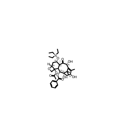 CC[Si](CC)(CC)O[C@H]1C[C@H]2OC[C@@]2(OC(C)=O)C2[C@H](OC(=O)c3ccccc3)[C@]3(O)C[C@H](O)C(C)=C([C@@H](O)C(=O)[C@@]21C)C3(C)C